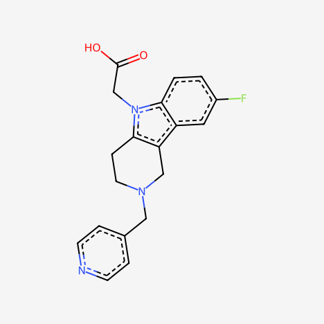 O=C(O)Cn1c2c(c3cc(F)ccc31)CN(Cc1ccncc1)CC2